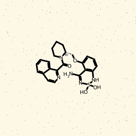 NC1=NS(O)(O)Nc2cccc(OC[C@H]3CCCCN3C(=O)c3nccc4ccccc34)c21